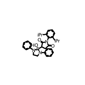 CC(C)c1cccc(C(C)C)c1N1C(=O)CC([P]2(O)N(c3ccccc3)CCN2c2ccccc2)C1=O